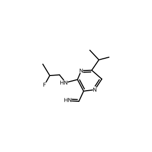 CC(F)CNc1nc(C(C)C)cnc1C=N